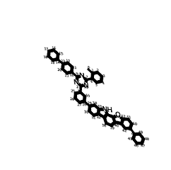 Cc1ccccc1-c1nc(-c2ccc(-c3ccccc3)cc2)nc(-c2cccc(-c3ccc4c(c3)[nH]c3c4ccc4c5cc(-c6ccccc6)ccc5oc43)c2)n1